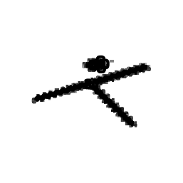 CCCCCCCCCCCCCCCCC[CH2][Sn+]([CH2]CCCCCCCCCCCCCCCCC)[CH2]CCCCCCCCCCCCCCCCC.Cc1ccc(S(=O)(=O)[O-])cc1